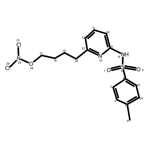 Cc1ccc(S(=O)(=O)Nc2cccc(CCCCON(Cl)Cl)n2)cc1